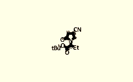 CCC(C(=O)OC(C)(C)C)N1CC(C#N)CC1=O